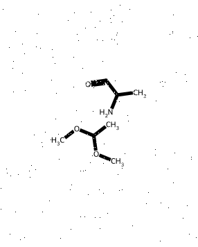 CC(N)C=O.COC(C)OC